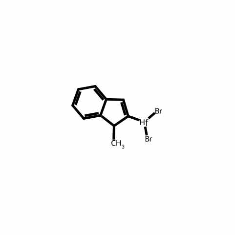 CC1[C]([Hf]([Br])[Br])=Cc2ccccc21